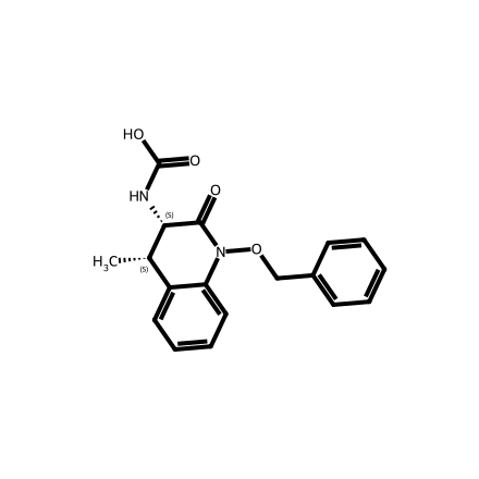 C[C@H]1c2ccccc2N(OCc2ccccc2)C(=O)[C@H]1NC(=O)O